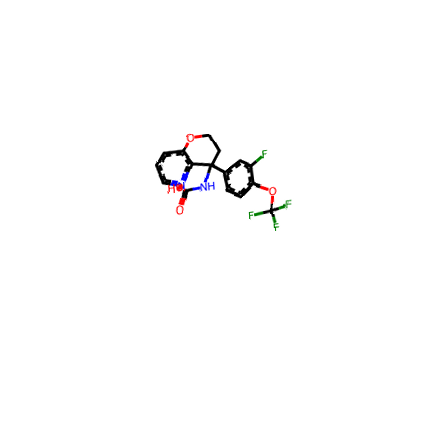 O=C(O)NC1(c2ccc(OC(F)(F)F)c(F)c2)CCOc2cccnc21